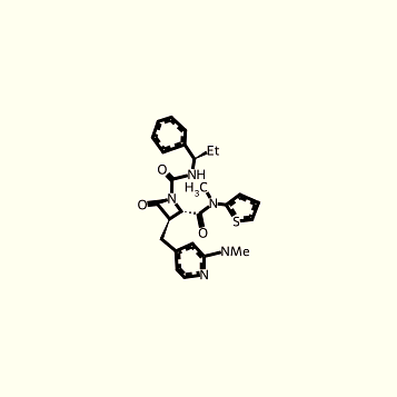 CC[C@@H](NC(=O)N1C(=O)[C@H](Cc2ccnc(NC)c2)[C@H]1C(=O)N(C)c1cccs1)c1ccccc1